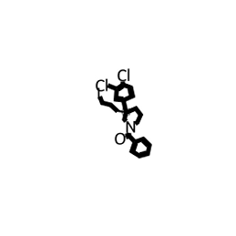 O=C(c1ccccc1)N1CCC[C@@](CCCI)(c2ccc(Cl)c(Cl)c2)C1